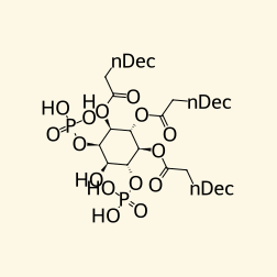 CCCCCCCCCCCC(=O)O[C@@H]1[C@@H](OC(=O)CCCCCCCCCCC)[C@H](OP(=O)(O)O)[C@@H](O)[C@@H](OP(=O)(O)O)[C@H]1OC(=O)CCCCCCCCCCC